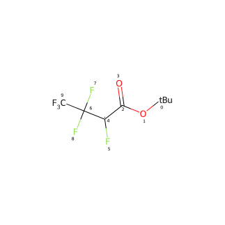 CC(C)(C)OC(=O)[C](F)C(F)(F)C(F)(F)F